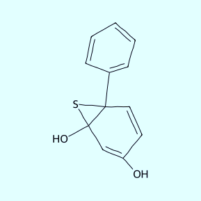 OC1=CC2(O)SC2(c2ccccc2)C=C1